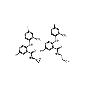 Cc1cc(I)ccc1Nc1ccc(Cl)cc1C(=O)NCCO.Cc1cc(I)ccc1Nc1ccc(F)cc1C(=O)NC1CC1